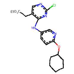 CCOC(=O)Cc1cnc(Cl)nc1Nc1ccc(OC2CCCCC2)nc1